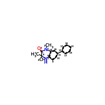 CN1C(=O)C(C)(C)Nc2ccc(-c3ccccc3)cc21